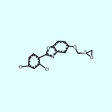 Clc1ccc(-c2nc3cc(OC[C@H]4CO4)ccc3o2)c(Cl)c1